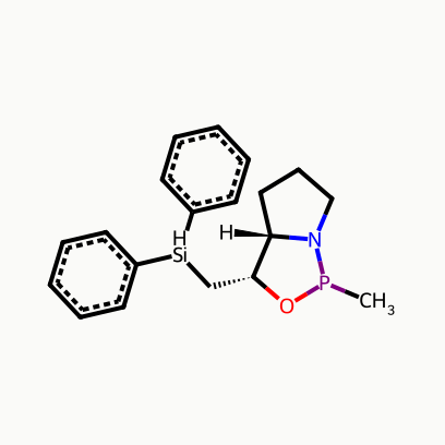 CP1O[C@H](C[SiH](c2ccccc2)c2ccccc2)[C@@H]2CCCN21